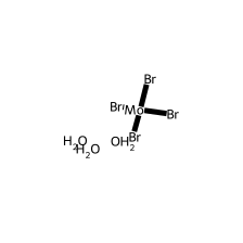 O.O.O.[Br][Mo]([Br])([Br])[Br]